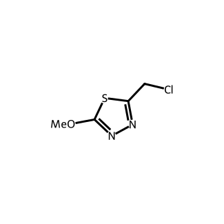 COc1nnc(CCl)s1